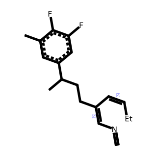 C=N/C=C(\C=C/CC)CCC(C)c1cc(C)c(F)c(F)c1